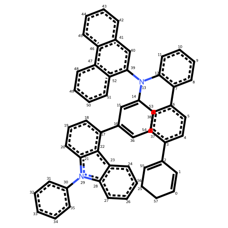 C1=CC(c2ccc(-c3ccccc3N(C3=CC(c4cccc5c4c4ccccc4n5-c4ccccc4)=CCC3)c3cc4ccccc4c4ccccc34)cc2)=CCC1